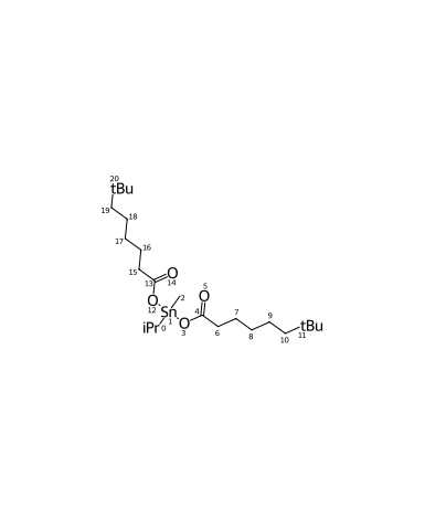 C[CH](C)[Sn]([CH3])([O]C(=O)CCCCCC(C)(C)C)[O]C(=O)CCCCCC(C)(C)C